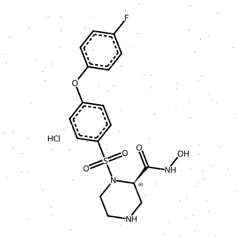 Cl.O=C(NO)[C@H]1CNCCN1S(=O)(=O)c1ccc(Oc2ccc(F)cc2)cc1